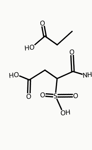 CCC(=O)O.NC(=O)C(CC(=O)O)S(=O)(=O)O